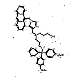 COc1ccc(C(OCCCN(CCCO)Cc2cn(Cc3c4ccccc4cc4ccccc34)nn2)(c2ccccc2)c2ccc(OC)cc2)cc1